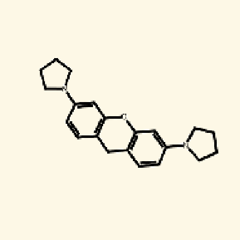 c1cc2c(cc1N1CCCC1)Oc1cc(N3CCCC3)ccc1C2